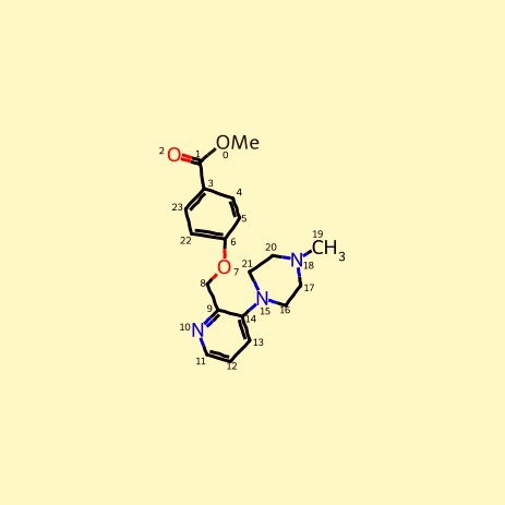 COC(=O)c1ccc(OCc2ncccc2N2CCN(C)CC2)cc1